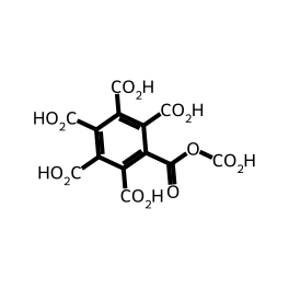 O=C(O)OC(=O)c1c(C(=O)O)c(C(=O)O)c(C(=O)O)c(C(=O)O)c1C(=O)O